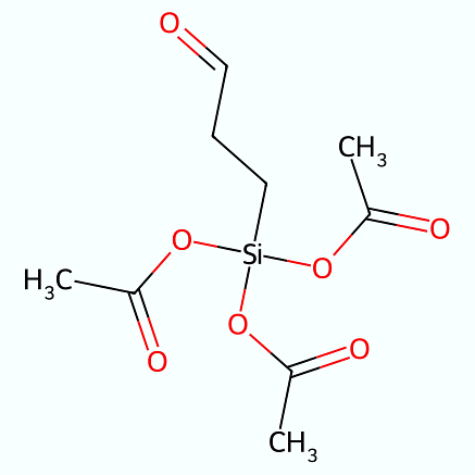 CC(=O)O[Si](CCC=O)(OC(C)=O)OC(C)=O